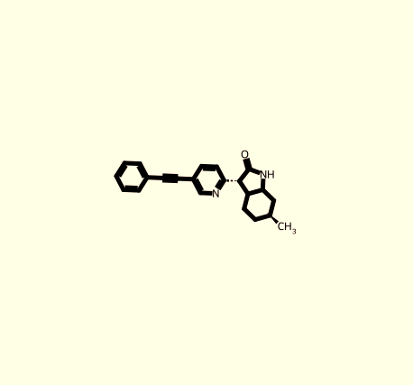 C[C@H]1CCC2C(C1)NC(=O)[C@H]2c1ccc(C#Cc2ccccc2)cn1